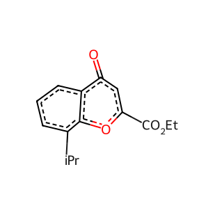 CCOC(=O)c1cc(=O)c2cccc(C(C)C)c2o1